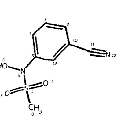 CS(=O)(=O)N(O)c1cccc(C#N)c1